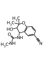 CNC(=O)NC1c2cc(C#N)ccc2OC(C)(C)C1O